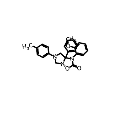 COc1ccccc1N1C(=O)ON2CN(c3ccc(C)cc3)CC21c1ccccc1